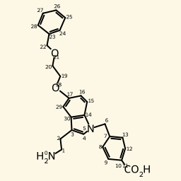 NCCc1cn(Cc2ccc(C(=O)O)cc2)c2ccc(OCCOCc3ccccc3)cc12